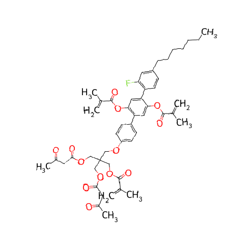 C=C(C)C(=O)OCC(COC(=O)CC(C)=O)(COC(=O)CC(C)=O)COc1ccc(-c2cc(OC(=O)C(=C)C)c(-c3ccc(CCCCCCC)cc3F)cc2OC(=O)C(=C)C)cc1